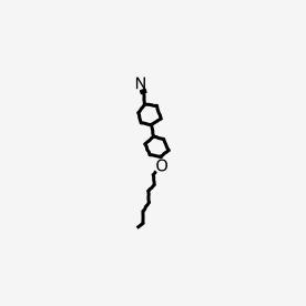 CCCCCCCOC1CCC(C2CCC(C#N)CC2)CC1